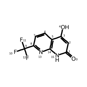 O=c1cc(O)c2ccc(C(F)(F)F)nc2[nH]1